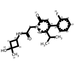 CC(C)c1nn(CC(=O)NC2CC(C)(O)C2)c(=O)cc1-c1ccccc1F